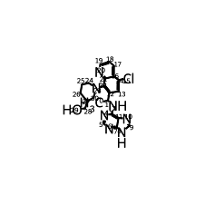 CC(Nc1ncnc2[nH]cnc12)c1cc(Cl)c2cccnc2c1N1CCCC(CO)C1